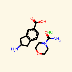 Cl.NC(=O)N1CCOCC1.NC1Cc2ccc(C(=O)O)cc2C1